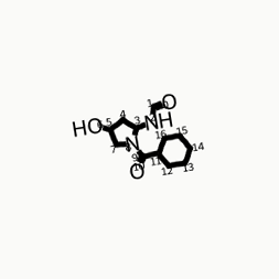 O=CNC1CC(O)CN1C(=O)C1CCCCC1